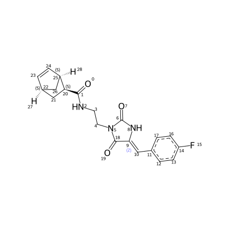 O=C(NCCN1C(=O)N/C(=C\c2ccc(F)cc2)C1=O)[C@H]1C[C@H]2C=C[C@@H]1C2